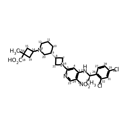 C[C@@H](Nc1cc(N2CC([C@H]3CCCN(C4CC(C)(C(=O)O)C4)C3)C2)ncc1[N+](=O)[O-])c1ccc(Cl)cc1Cl